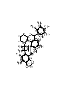 [2H]c1c([2H])c([2H])c(C(O[C@@H]2CCCN(C([2H])([2H])C([2H])([2H])c3c([2H])c([2H])c4c(c3[2H])OCO4)C2)c2c([2H])c([2H])c([2H])c([2H])c2[2H])c([2H])c1[2H]